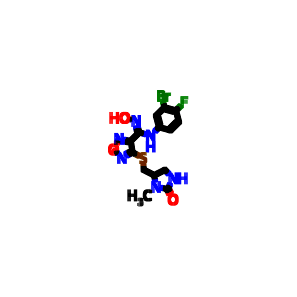 CN1C(=O)NCC1CSc1nonc1C(=NO)Nc1ccc(F)c(Br)c1